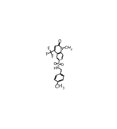 Cc1ccc(CNS(=O)(=O)c2ccc3c(c2)c(C(F)(F)F)cc(=O)n3C)cc1